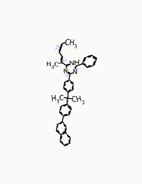 C/C=C\C=C(/C)C(=N)/N=C(\N=C\c1ccccc1)c1ccc(C(C)(C)c2ccc(-c3ccc4ccccc4c3)cc2)cc1